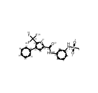 CS(=O)(=O)Nc1cccc(NC(=O)c2cc(-c3ccccc3)c(C(F)(F)F)s2)c1